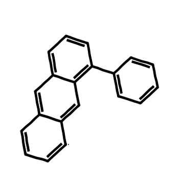 [c]1cccc2cc3cccc(-c4ccccc4)c3cc12